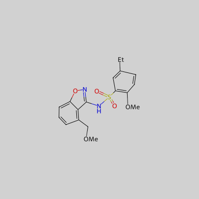 CCc1ccc(OC)c(S(=O)(=O)Nc2noc3cccc(COC)c23)c1